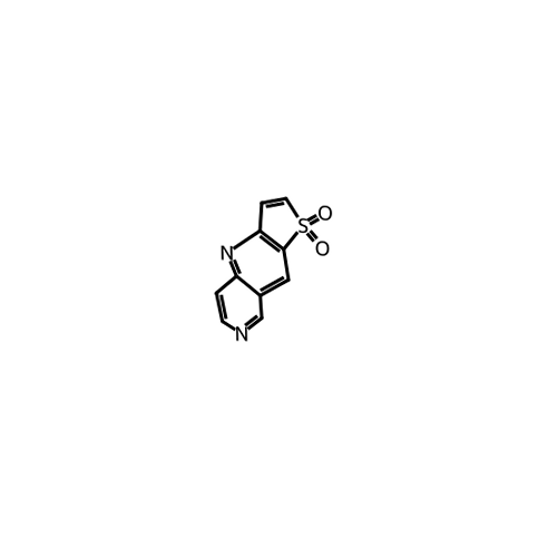 O=S1(=O)C=Cc2nc3ccncc3cc21